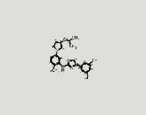 Cc1ccc(N2CC[C@@H](OC(C)C)C2)cc1Nc1ncn(-c2cc(F)cc(F)c2)n1